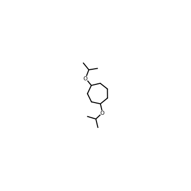 CC(C)OC1CCCC(OC(C)C)CC1